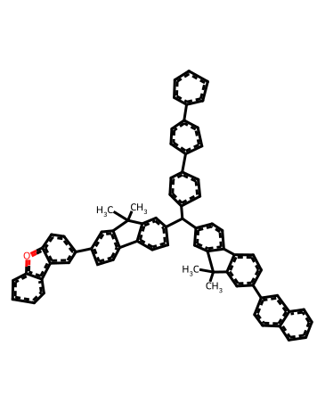 CC1(C)c2cc(-c3ccc4ccccc4c3)ccc2-c2ccc(C(c3ccc(-c4ccc(-c5ccccc5)cc4)cc3)c3ccc4c(c3)C(C)(C)c3cc(-c5ccc6oc7ccccc7c6c5)ccc3-4)cc21